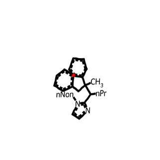 CCCCCCCCCn1ccnc1C(CCC)C(C)(Cc1ccccc1)c1ccccc1